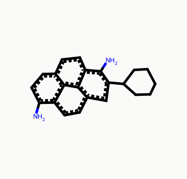 Nc1ccc2ccc3c(N)c(C4CCCCC4)cc4ccc1c2c43